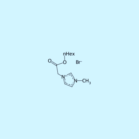 CCCCCCOC(=O)C[n+]1ccn(C)c1.[Br-]